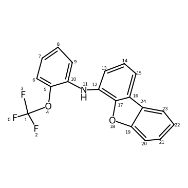 FC(F)(F)Oc1ccccc1Nc1cccc2c1oc1ccccc12